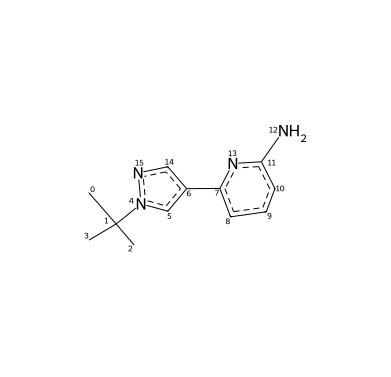 CC(C)(C)n1cc(-c2cccc(N)n2)cn1